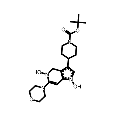 CC(C)(C)OC(=O)N1CCC(c2cn(O)c3c2CN(O)C(N2CCOCC2)=C3)CC1